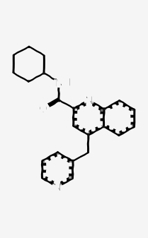 O=C(NC1CCCCC1)c1cc(Cc2cccnc2)c2ccccc2n1